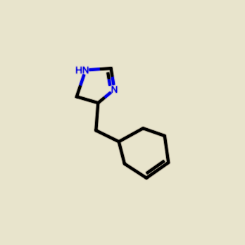 C1=CCC(CC2CNC=N2)CC1